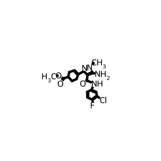 COC(=O)C1CC=C(c2nn(C)c(N)c2C(=O)Nc2ccc(F)c(Cl)c2)CC1